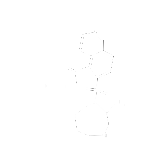 CC1CNCCCCN1S(=O)(=O)c1ccc2cnccc2c1[N+](=O)[O-].Cl.Cl